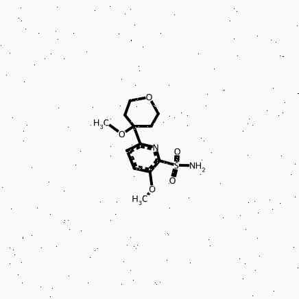 COc1ccc(C2(OC)CCOCC2)nc1S(N)(=O)=O